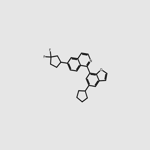 FC1(F)CCC(c2ccc3c(-c4cc(C5CCCC5)cc5ccoc45)nccc3c2)C1